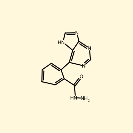 NNC(=O)c1ccccc1-c1ncnc2nc[nH]c12